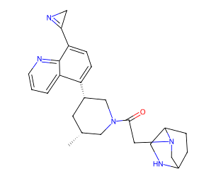 C[C@@H]1C[C@H](c2ccc(C3=NC3)c3ncccc23)CN(C(=O)CN2CC3CCC2CN3)C1